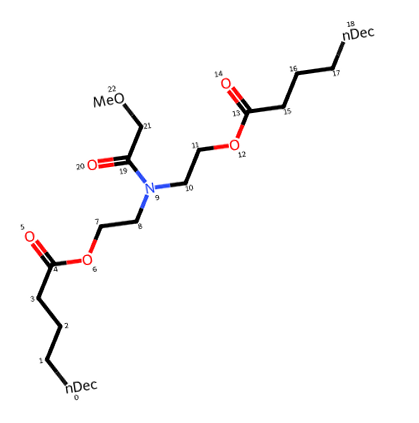 CCCCCCCCCCCCCC(=O)OCCN(CCOC(=O)CCCCCCCCCCCCC)C(=O)COC